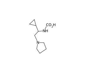 O=C(O)NC(CN1CCCC1)C1CC1